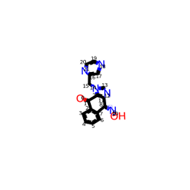 O=C1c2ccccc2/C(=N\O)c2ncn(Cc3cnccn3)c21